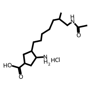 CC(=O)NCC(C)CCCCCC1CC(C(=O)O)CC1N.Cl